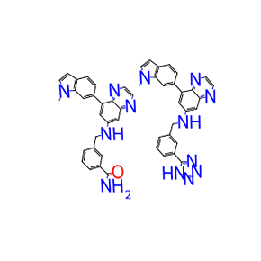 Cn1ccc2ccc(-c3cc(NCc4cccc(-c5nnn[nH]5)c4)cc4nccnc34)cc21.Cn1ccc2ccc(-c3cc(NCc4cccc(C(N)=O)c4)cc4nccnc34)cc21